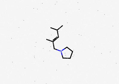 CC(=CC(C)C)CN1CCCC1